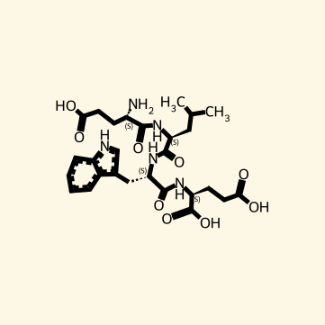 CC(C)C[C@H](NC(=O)[C@@H](N)CCC(=O)O)C(=O)N[C@@H](Cc1c[nH]c2ccccc12)C(=O)N[C@@H](CCC(=O)O)C(=O)O